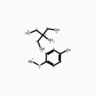 CC(C)(C)Oc1ccc(S)cc1.NC(CO)(CO)CO